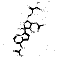 CCCC(=O)Nc1ncnn2c([C@]3(C#N)O[C@H](COC(=O)[C@@H](N)C(C)C)[C@@H](OC(=O)CC)[C@H]3O)ccc12